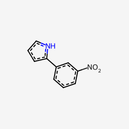 O=[N+]([O-])c1cccc(-c2ccc[nH]2)c1